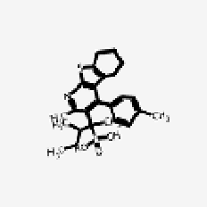 CCC(C)C(C)(c1c(C)nc2sc3c(c2c1-c1ccc(C)cc1)CCCC3)P(=O)(O)O